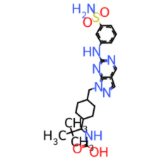 CC(C)(C)C(NC(=O)O)C1CCC(Cn2ncc3cnc(Nc4cccc(S(N)(=O)=O)c4)nc32)CC1